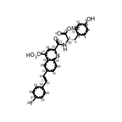 COC(=O)[C@H](Cc1ccc(O)cc1)NC(=O)c1cc(C(=O)O)c2cc(/C=C/c3ccc(F)cc3)ccc2n1